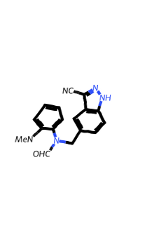 CNc1ccccc1N(C=O)Cc1ccc2[nH]nc(C#N)c2c1